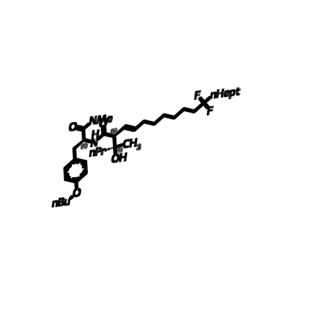 CCCCCCCC(F)(F)CCCCCCC=C[C@H](C(=O)N[C@@H](Cc1ccc(OCCCC)cc1)C(=O)NC)[C@@](C)(O)CCC